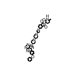 C=C1CCC(N2C(=O)c3ccc(N4CC(N5CCC(N6CCC(n7nc(-c8ccc(Oc9ccccc9)cc8)c8c(N)ncnc87)CC6)CC5)C4)cc3C2=O)C(=O)N1